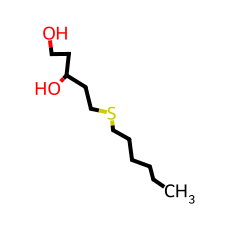 CCCCCCSCCC(O)CCO